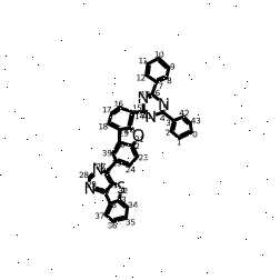 c1ccc(-c2nc(-c3ccccc3)nc(-c3cccc4c3oc3ccc(-c5ncnc6c5sc5ccccc56)cc34)n2)cc1